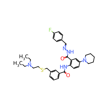 CCN(CC)CCSCc1cccc(C(=O)Nc2ccc(N3CCCCC3)cc2C(=O)NN=Cc2ccc(F)cc2)c1